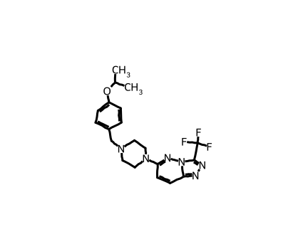 CC(C)Oc1ccc(CN2CCN(c3ccc4nnc(C(F)(F)F)n4n3)CC2)cc1